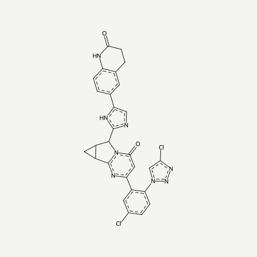 O=C1CCc2cc(-c3cnc(C4C5CC5c5nc(-c6cc(Cl)ccc6-n6cc(Cl)nn6)cc(=O)n54)[nH]3)ccc2N1